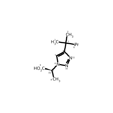 CC(C)C(C)(C)c1cn([C@@H](C)C(=O)O)nn1